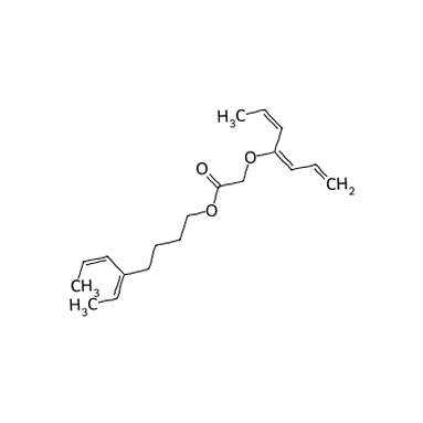 C=C/C=C(\C=C/C)OCC(=O)OCCCCC(/C=C\C)=C/C